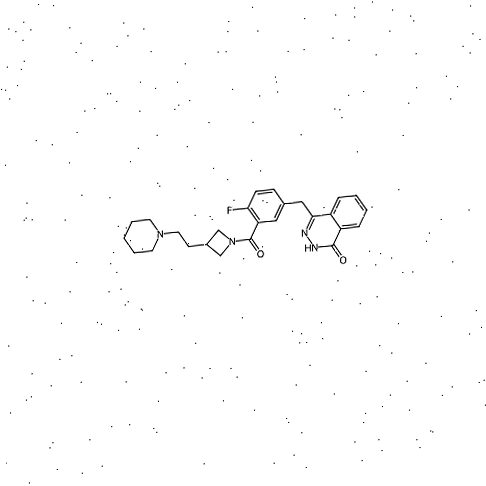 O=C(c1cc(Cc2n[nH]c(=O)c3ccccc23)ccc1F)N1CC(CCN2CCCCC2)C1